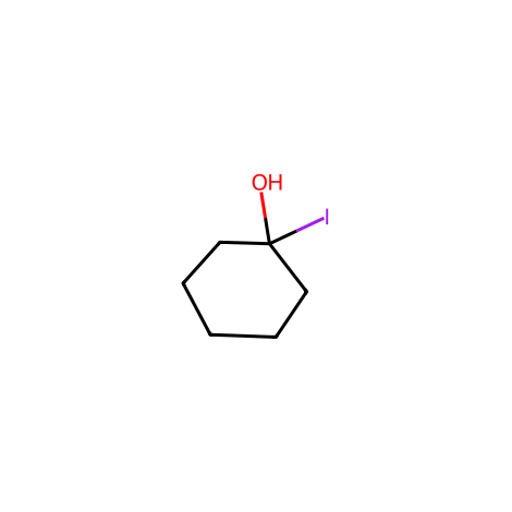 OC1(I)CCCCC1